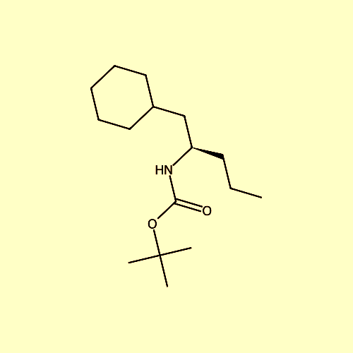 CCC[C@H](CC1CCCCC1)NC(=O)OC(C)(C)C